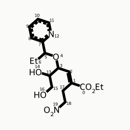 CCOC(=O)/C(=C/C(OC(CC)c1ccccn1)C(O)CO)CC[N+](=O)[O-]